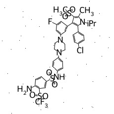 Cc1c(S(C)(=O)=O)c(-c2cc(F)cc(N3CCN(c4ccc(NS(=O)(=O)c5ccc(N)c(S(=O)(=O)C(F)(F)F)c5)cc4)CC3)c2)c(-c2ccc(Cl)cc2)n1C(C)C